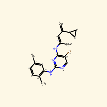 C=C(/C=C(\NC)Nc1nc(Nc2cc(C(C)C)ccc2C)ncc1Br)C1CC1